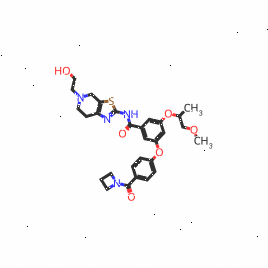 COCC(C)Oc1cc(Oc2ccc(C(=O)N3CCC3)cc2)cc(C(=O)Nc2nc3c(s2)CN(CCO)CC3)c1